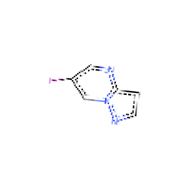 Ic1cnc2ccnn2c1